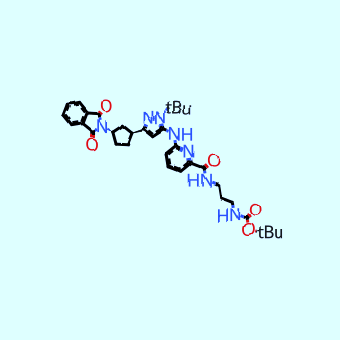 CC(C)(C)OC(=O)NCCCNC(=O)c1cccc(Nc2cc([C@H]3CC[C@@H](N4C(=O)c5ccccc5C4=O)C3)nn2C(C)(C)C)n1